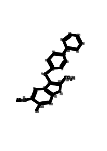 COc1cc2c(Oc3ccc(-c4ccccc4)cc3)c(C(=O)O)sc2cc1C